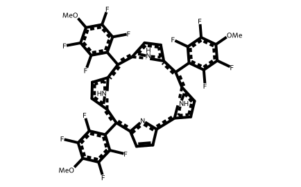 COc1c(F)c(F)c(-c2c3nc(c4ccc([nH]4)c(-c4c(F)c(F)c(OC)c(F)c4F)c4ccc([nH]4)c(-c4c(F)c(F)c(OC)c(F)c4F)c4ccc2[nH]4)C=C3)c(F)c1F